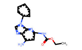 CCOC(=O)Nc1cc(N)c2ncn(-c3ccccc3)c2n1